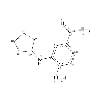 NC(=O)c1ccc(C(=O)O)c(NC2CCCC2)c1